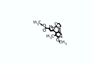 CCOC(=O)c1cc(-c2c(F)cnc(OC)c2C)n(C2NCCO2)n1